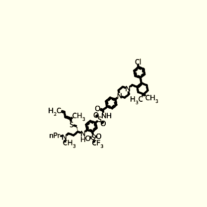 C=C/C=C(\C)SC[C@@H](CCN(C)CCC)Nc1ccc(S(=O)(=O)NC(=O)c2ccc(N3CCN(CC4=C(c5ccc(Cl)cc5)CCC(C)(C)C4)CC3)cc2)cc1S(=O)(=O)C(F)(F)F